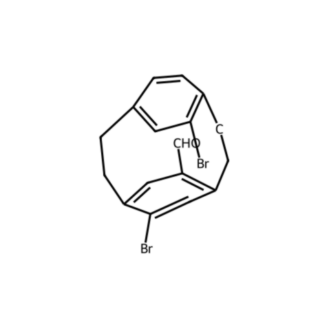 O=Cc1cc2c(Br)cc1CCc1ccc(cc1Br)CC2